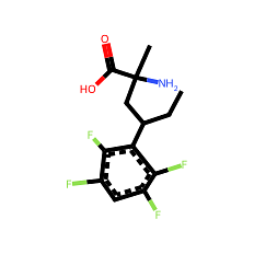 CCC(CC(C)(N)C(=O)O)c1c(F)c(F)cc(F)c1F